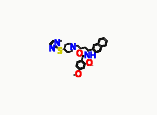 COc1ccc(C(=O)NC(CCCN2CCC(Sc3nccn3C)CC2)c2ccc3ccccc3c2)c(OC)c1